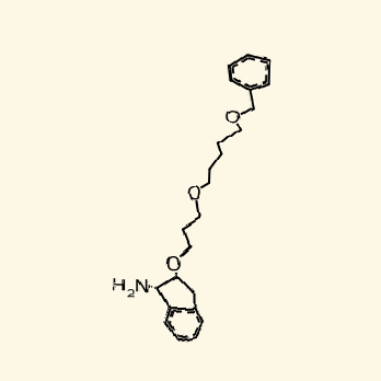 N[C@H]1c2ccccc2C[C@H]1OCCCOCCCCCOCc1ccccc1